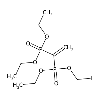 C=C(P(=O)(OCC)OCC)P(=O)(OCC)OCI